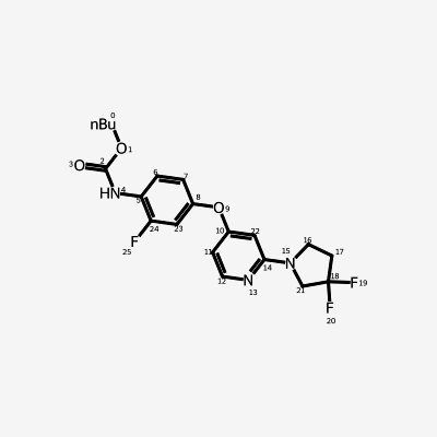 CCCCOC(=O)Nc1ccc(Oc2ccnc(N3CCC(F)(F)C3)c2)cc1F